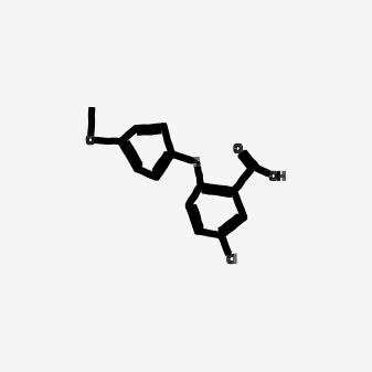 COc1ccc(Sc2ccc(Cl)cc2C(=O)O)cc1